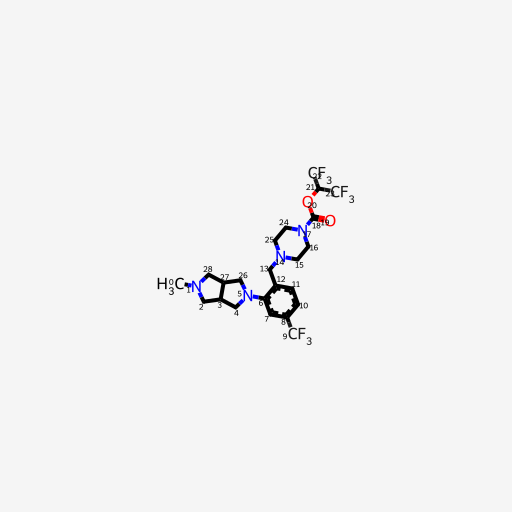 CN1CC2CN(c3cc(C(F)(F)F)ccc3CN3CCN(C(=O)OC(C(F)(F)F)C(F)(F)F)CC3)CC2C1